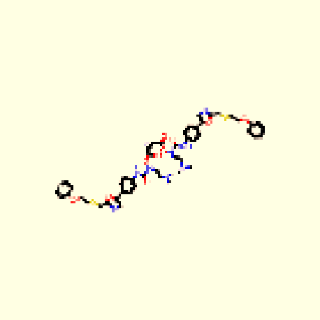 CN(C)CCN(OC(=O)/C=C\C(=O)ON(CCN(C)C)C(=O)Nc1ccc(-c2cnc(CSCCOc3ccccc3)o2)cc1)C(=O)Nc1ccc(-c2cnc(CSCCOc3ccccc3)o2)cc1